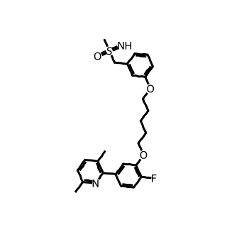 Cc1ccc(C)c(-c2ccc(F)c(OCCCCCOc3cccc(CS(C)(=N)=O)c3)c2)n1